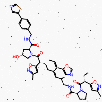 C/C=C(\C(=C/C(C)CNC(=O)[C@@H]1C[C@@H](O)CN1C(=O)[C@H](CC)c1cc(C)no1)CC[C@@H](C(=O)N1C[C@H](O)C[C@H]1C(=O)NCc1ccc(-c2cncs2)cc1)c1cc(C)no1)c1cnco1